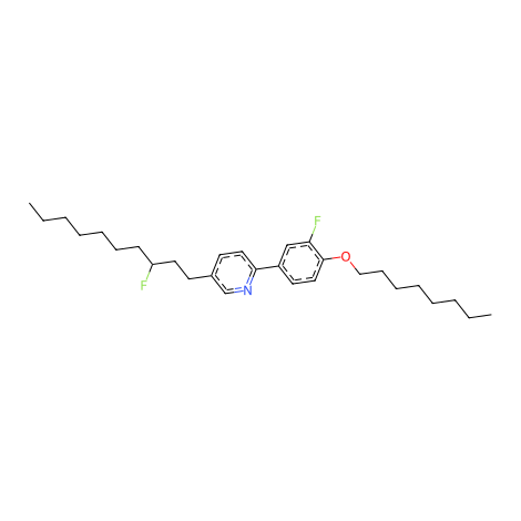 CCCCCCCCOc1ccc(-c2ccc(CCC(F)CCCCCCC)cn2)cc1F